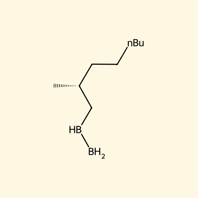 BBC[C@H](C)CCCCCC